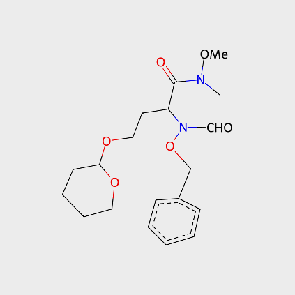 CON(C)C(=O)C(CCOC1CCCCO1)N(C=O)OCc1ccccc1